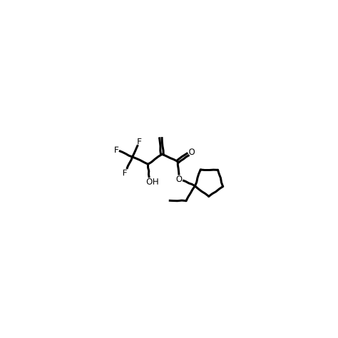 C=C(C(=O)OC1(CC)CCCC1)C(O)C(F)(F)F